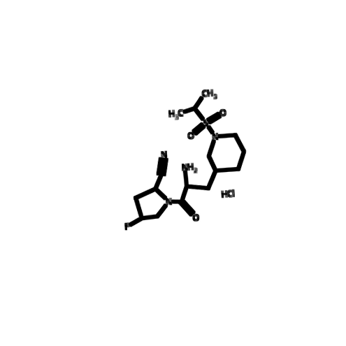 CC(C)S(=O)(=O)N1CCCC(CC(N)C(=O)N2CC(F)CC2C#N)C1.Cl